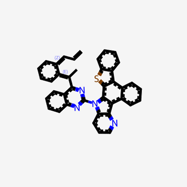 C=C/C=c1/cccc/c1=C(/C)c1nc(-n2c3cccnc3c3c4ccccc4c4c5ccccc5sc4c32)nc2ccccc12